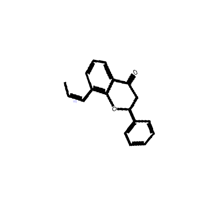 C/C=C\c1cccc2c1OC(c1ccccc1)CC2=O